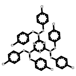 Clc1ccc(SN(Sc2ccc(Cl)cc2)c2nc(N(Sc3ccc(Cl)cc3)Sc3ccc(Cl)cc3)nc(N(Sc3ccc(Cl)cc3)Sc3ccc(Cl)cc3)n2)cc1